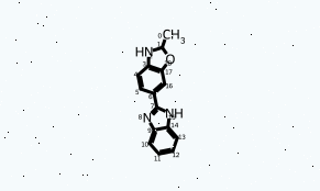 CC1Nc2ccc(-c3nc4ccccc4[nH]3)cc2O1